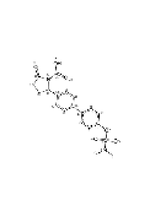 CN(C)S(=O)(=O)Oc1ccc(-c2ccc(C3CCC(=O)N3C(=O)O)cc2)cc1